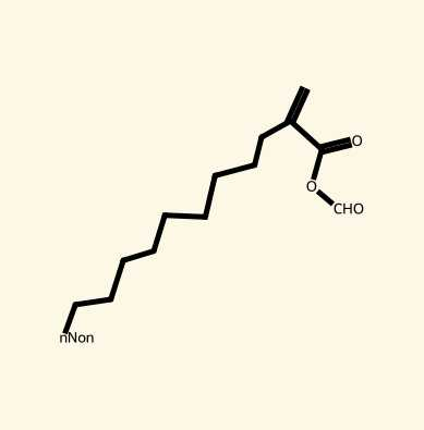 C=C(CCCCCCCCCCCCCCCCCC)C(=O)OC=O